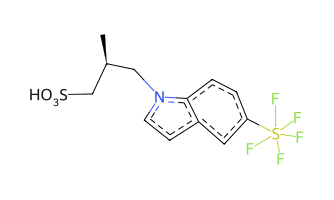 C[C@@H](Cn1ccc2cc(S(F)(F)(F)(F)F)ccc21)CS(=O)(=O)O